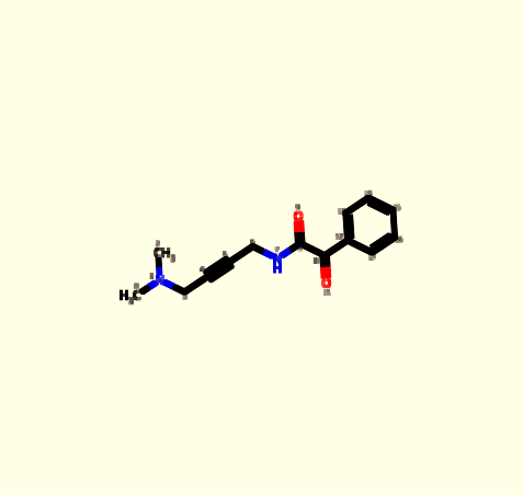 CN(C)CC#CCNC(=O)C(=O)c1ccccc1